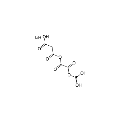 O=C(O)CC(=O)OC(=O)C(=O)OB(O)O.[LiH]